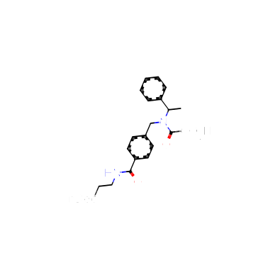 CCCCCCCCCCCCNC(=O)c1ccc(CN(C(=O)C(=O)O)C(C)c2ccccc2)cc1